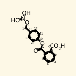 O=C(O)c1ccccc1C(=O)Oc1ccc(CON(O)O)cc1